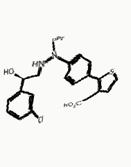 CCCN(NC[C@H](O)c1cccc(Cl)c1)c1ccc(-c2sccc2C(=O)O)cc1